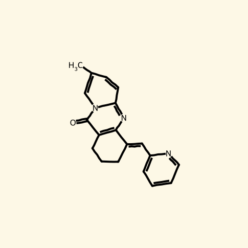 Cc1ccc2nc3c(c(=O)n2c1)CCCC3=Cc1ccccn1